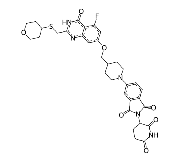 O=C1CCC(N2C(=O)c3ccc(N4CCC(COc5cc(F)c6c(=O)[nH]c(CSC7CCOCC7)nc6c5)CC4)cc3C2=O)C(=O)N1